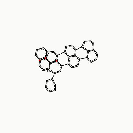 c1ccc(-c2cc(-c3ccc(-c4cccc5cccc(-c6ccc(-c7cnc8ccccc8c7)cc6)c45)cc3)nc(-c3ccccc3)n2)cc1